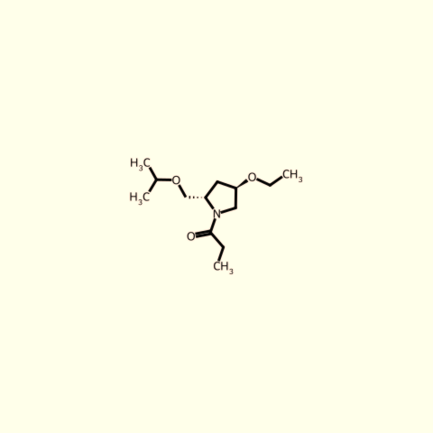 CCO[C@@H]1C[C@@H](COC(C)C)N(C(=O)CC)C1